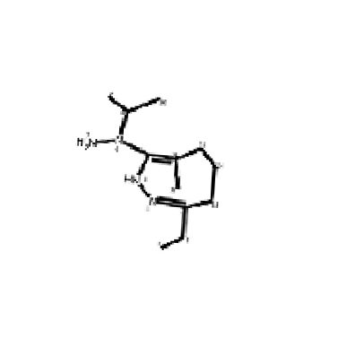 CC/C1=N/N/C(N(N)C(C)C)=C(\C)CCC1